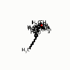 CCCCCCCCCCc1ccc(NC(=O)C(COP(=O)(OC(C)(C)C)OC(C)(C)C)N(C(=O)O)C(C)(C)C)cc1